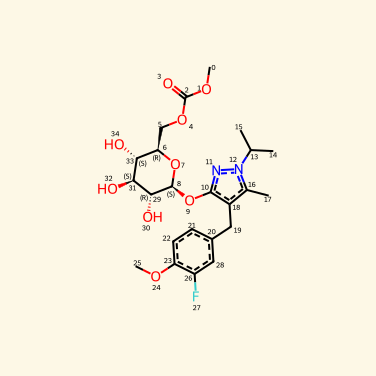 COC(=O)OC[C@H]1O[C@@H](Oc2nn(C(C)C)c(C)c2Cc2ccc(OC)c(F)c2)[C@H](O)[C@@H](O)[C@@H]1O